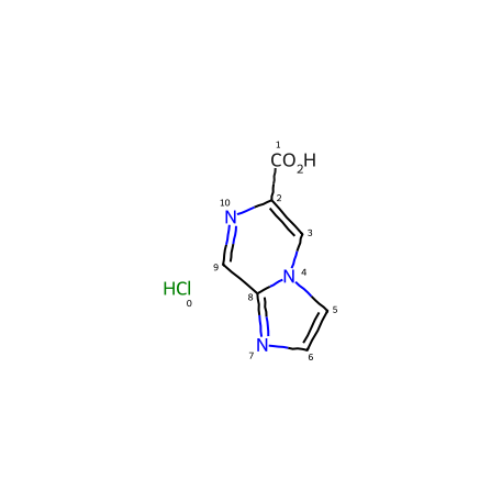 Cl.O=C(O)c1cn2ccnc2cn1